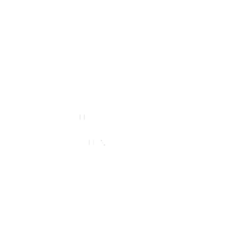 O=[PH](O)c1ccccc1.[CH3][AlH2]